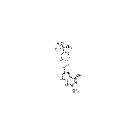 CC(C)(C)[C@H]1CC[C@H](CCc2cnc3nc(N)nc(O)c3n2)CC1